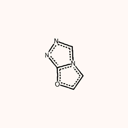 c1cn2cnnc2o1